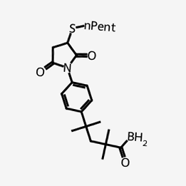 BC(=O)C(C)(C)CC(C)(C)c1ccc(N2C(=O)CC(SCCCCC)C2=O)cc1